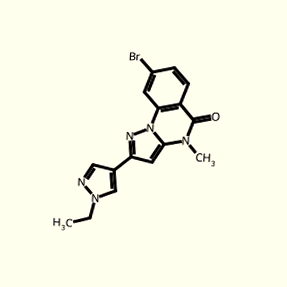 CCn1cc(-c2cc3n(C)c(=O)c4ccc(Br)cc4n3n2)cn1